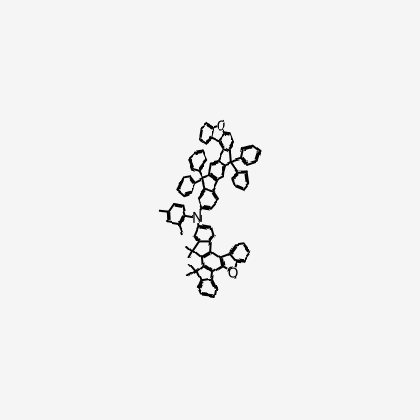 Cc1ccc(N(c2ccc3c(c2)C(C)(C)c2c4c(c5oc6ccccc6c5c2-3)-c2ccccc2C4(C)C)c2ccc3c(c2)C(c2ccccc2)(c2ccccc2)c2cc4c(cc2-3)C(c2ccccc2)(c2ccccc2)c2ccc3oc5ccccc5c3c2-4)c(C)c1